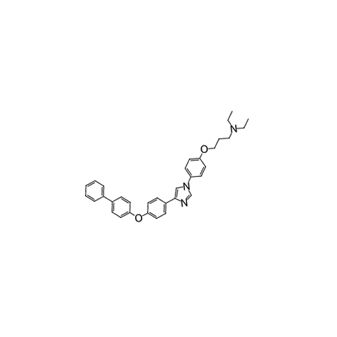 CCN(CC)CCCOc1ccc(-n2cnc(-c3ccc(Oc4ccc(-c5ccccc5)cc4)cc3)c2)cc1